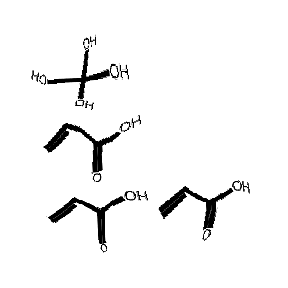 C=CC(=O)O.C=CC(=O)O.C=CC(=O)O.OC(O)(O)O